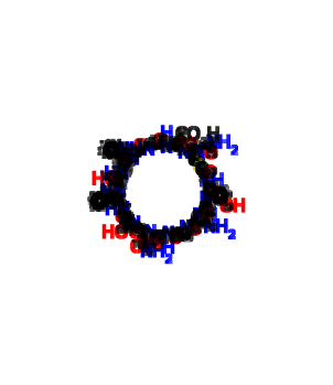 CCCC[C@H]1C(=O)N(C)[C@@H](CCCC)C(=O)N[C@@H](CCC(=O)O)C(=O)N[C@H](C(=O)NCC(N)=O)CSCC(=O)N[C@@H](Cc2ccc(O)cc2)C(=O)N(C)[C@@H](C)C(=O)N[C@@H](CC(N)=O)C(=O)N2CCC[C@H]2C(=O)N[C@@H](CO)C(=O)N[C@@H](CCC(N)=O)C(=O)N2C[C@H](O)C[C@H]2C(=O)N[C@@H](Cc2c[nH]c3ccccc23)C(=O)N[C@@H](CO)C(=O)N[C@@H](Cc2c[nH]c3ccccc23)C(=O)N1C